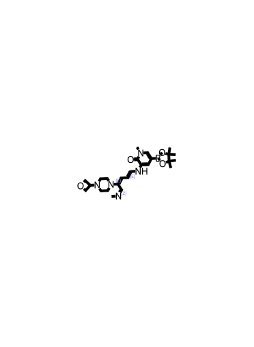 C\N=C/C(=C\C=C\Nc1cc(B2OC(C)(C)C(C)(C)O2)cn(C)c1=O)N1CCN(C2COC2)CC1